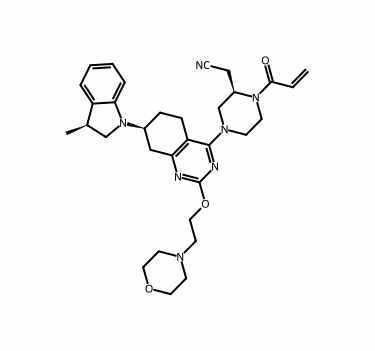 C=CC(=O)N1CCN(c2nc(OCCN3CCOCC3)nc3c2CC[C@H](N2C[C@@H](C)c4ccccc42)C3)C[C@H]1CC#N